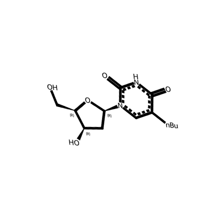 CCCCc1cn([C@H]2C[C@@H](O)[C@@H](CO)O2)c(=O)[nH]c1=O